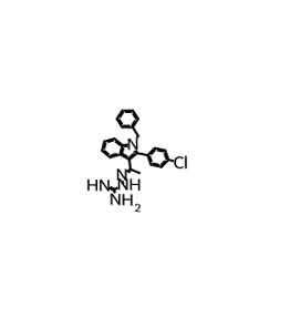 CC(=NNC(=N)N)c1c(-c2ccc(Cl)cc2)n(Cc2ccccc2)c2ccccc12